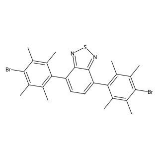 Cc1c(C)c(-c2ccc(-c3c(C)c(C)c(Br)c(C)c3C)c3nsnc23)c(C)c(C)c1Br